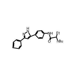 CCCCC(CC)C(=O)Nc1ccc(-c2cc(-c3ccccc3)n[nH]2)cc1